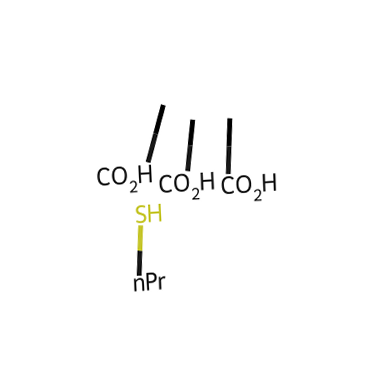 CC(=O)O.CC(=O)O.CC(=O)O.CCCS